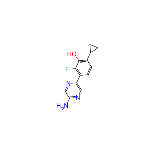 Nc1cnc(-c2ccc(C3CC3)c(O)c2F)cn1